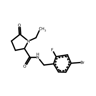 CCN1C(=O)CCC1C(=O)NCc1ccc(Br)cc1F